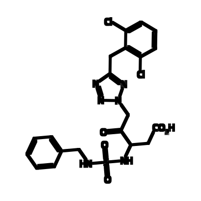 O=C(O)CC(NS(=O)(=O)NCc1ccccc1)C(=O)Cn1nnc(Cc2c(Cl)cccc2Cl)n1